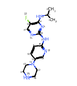 CC(C)Nc1nc(Nc2ccc(N3CCNCC3)cn2)ncc1F